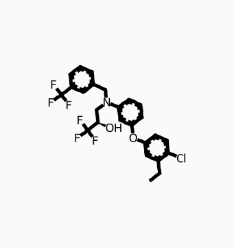 CCc1cc(Oc2cccc(N(Cc3cccc(C(F)(F)F)c3)C[C@@H](O)C(F)(F)F)c2)ccc1Cl